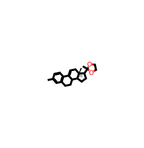 Cc1ccc2c(c1)CCC1C2=CC[C@@]2(C)C1CCC2C1(C)OCCO1